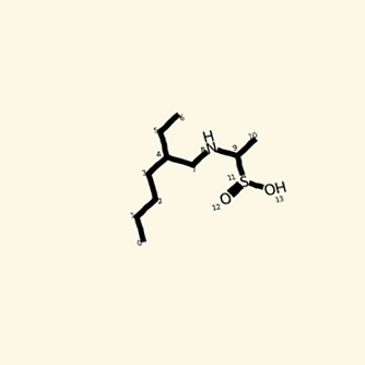 CCCCC(CC)CNC(C)S(=O)O